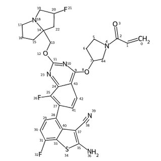 C=CC(=O)N1CCC(Oc2nc(OCC34CCCN3CC(F)C4)nc3c(F)c(-c4ccc(F)c5sc(N)c(C#N)c45)ccc23)C1